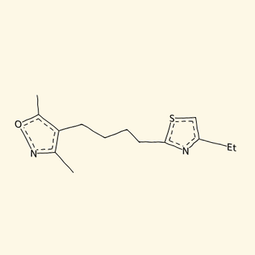 CCc1csc(CCCCc2c(C)noc2C)n1